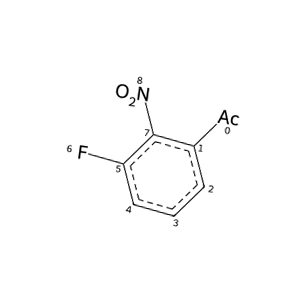 CC(=O)c1cccc(F)c1[N+](=O)[O-]